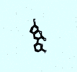 O=c1oc2cc(F)ccc2cc1-c1cccc(F)n1